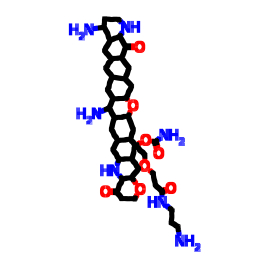 NCCCNC(=O)CCOCC1(OC(N)=O)C2CC3OC4CC5CC6C(=O)C7NCCC(N)C7CC6CC5CC4C(N)C3CC2CC2NC3C(=O)CCOC3CC21